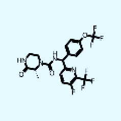 C[C@@H]1C(=O)NCCN1C(=O)NC(c1ccc(OC(F)(F)F)cc1)c1ccc(F)c(C(F)(F)F)n1